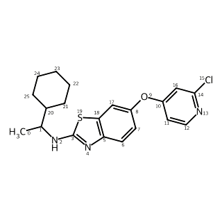 CC(Nc1nc2ccc(Oc3ccnc(Cl)c3)cc2s1)C1CCCCC1